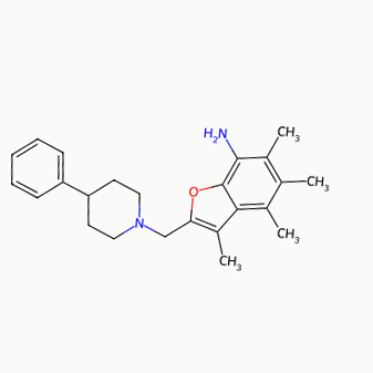 Cc1c(C)c(C)c2c(C)c(CN3CCC(c4ccccc4)CC3)oc2c1N